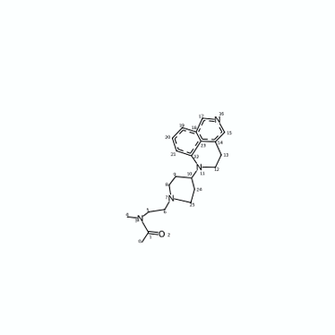 CC(=O)N(C)CCN1CCC(N2CCc3cncc4cccc2c34)CC1